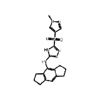 Cn1cc(S(=O)(=O)c2nnc(Nc3c4c(cc5c3CCC5)CCC4)[nH]2)cn1